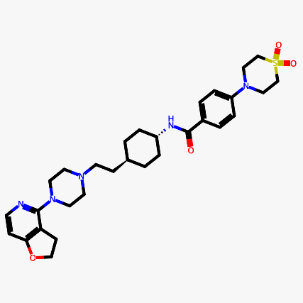 O=C(N[C@H]1CC[C@H](CCN2CCN(c3nccc4c3CCO4)CC2)CC1)c1ccc(N2CCS(=O)(=O)CC2)cc1